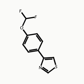 FC(F)Oc1ccc(-c2cs[c]n2)cc1